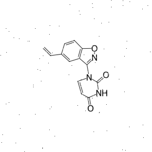 C=Cc1ccc2onc(-n3ccc(=O)[nH]c3=O)c2c1